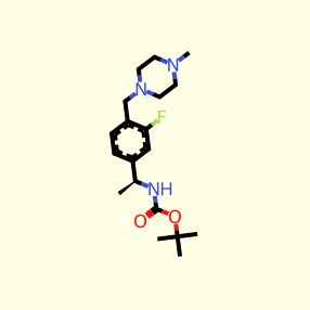 C[C@H](NC(=O)OC(C)(C)C)c1ccc(CN2CCN(C)CC2)c(F)c1